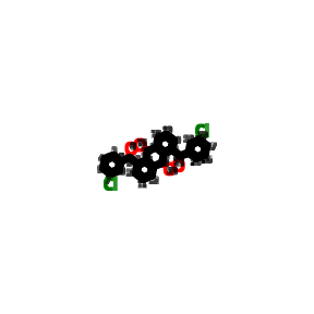 O=C(c1cccc(Cl)c1)c1cccc2c1C(=O)c1cccc(C(=O)c3cccc(Cl)c3)c1C2=O